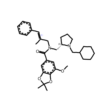 COc1cc(C(=O)N(C/C(C)=C/c2ccccc2)C[C@@H]2CCCN2CC2CCCCC2)cc2c1OC(C)(C)O2